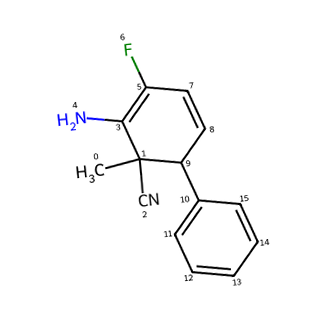 CC1(C#N)C(N)=C(F)C=CC1c1ccccc1